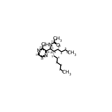 CCCCCC[C@@H](CCCC)C(NC(C)=O)c1nccnc1Cl